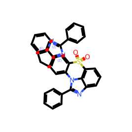 O=S1(=O)c2cc(C3=C\CC/C(c4ccccc4)=N/C(c4ccccc4)=N\3)ccc2-n2c(-c3ccccc3)nc3cccc1c32